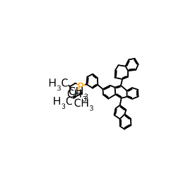 CC(C)CP(CC(C)(C)C)c1cccc(-c2ccc3c(-c4ccc5ccccc5c4)c4ccccc4c(C4=Cc5ccccc5CC=C4)c3c2)c1